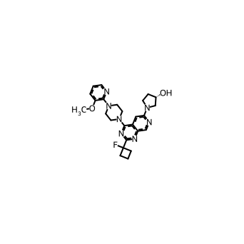 COc1cccnc1N1CCN(c2nc(C3(F)CCC3)nc3cnc(N4CC[C@H](O)C4)cc23)CC1